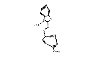 COc1ccc(SCc2oc3ccccc3c2C)nn1